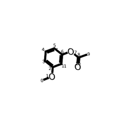 COc1cc[c]c(OC(C)=O)c1